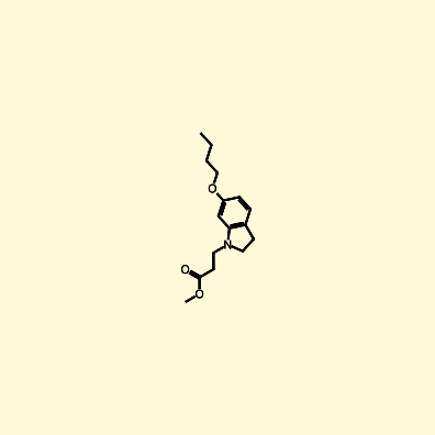 CCCCOc1ccc2c(c1)N(CCC(=O)OC)CC2